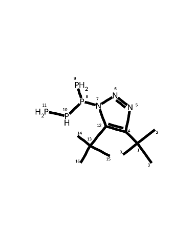 CC(C)(C)c1nnn(P(P)PP)c1C(C)(C)C